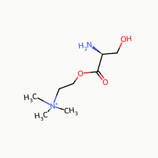 C[N+](C)(C)CCOC(=O)[C@@H](N)CO